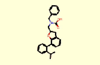 CC(C)c1ccccc1-c1cccc2c1OC(CN(Cc1ccccc1)C(=O)O)C2